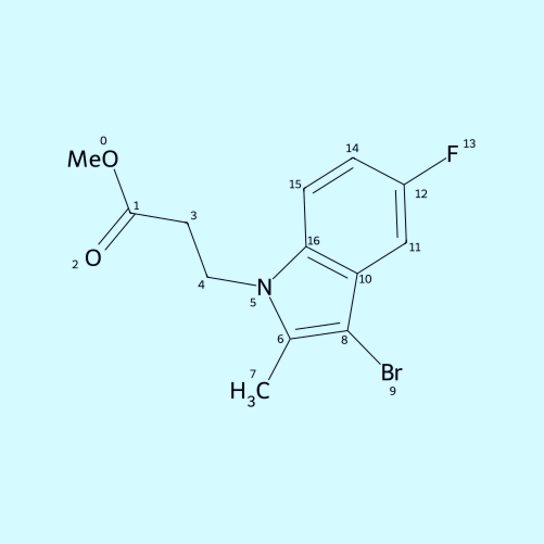 COC(=O)CCn1c(C)c(Br)c2cc(F)ccc21